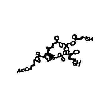 CC(=O)OCCCCOC(=O)C1CC2CC(SCCC(=O)OCC(COC(=O)CCS)(COC(=O)CCS)COC(=O)OCS)C1C2